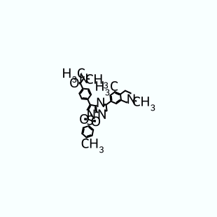 Cc1ccc(S(=O)(=O)n2cc(-c3ccc(C(=O)N(C)C)cc3)c3nc(-c4cc(C)c5c(c4)CN(C)CC5)cnc32)cc1